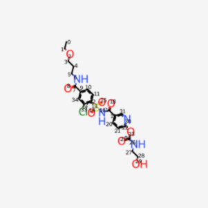 CCOCCCNC(=O)c1ccc(S(=O)(=O)NC(=O)c2ccc(OC(=O)NCCO)nc2)c(Cl)c1